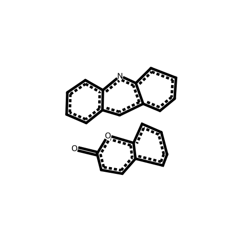 O=c1ccc2ccccc2o1.c1ccc2nc3ccccc3cc2c1